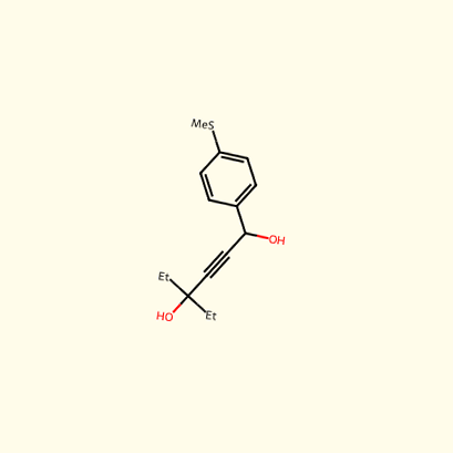 CCC(O)(C#CC(O)c1ccc(SC)cc1)CC